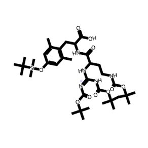 Cc1cc(O[Si](C)(C)C(C)(C)C)cc(C)c1CC(NC(=O)C(CCNC(=O)OC(C)(C)C)N/C(=N/C(=O)OC(C)(C)C)NC(=O)OC(C)(C)C)C(=O)O